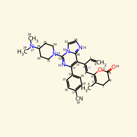 C=C/C(=C\C1=C(C)CCC(=O)O1)c1c(-c2ccc(C#N)cc2)nc(N2CCC(N(C)C)CC2)n2ccnc12